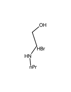 Br.CCCNCCO